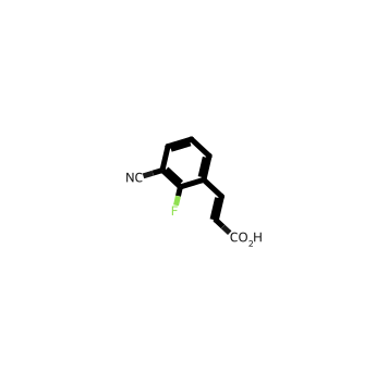 N#Cc1cccc(C=CC(=O)O)c1F